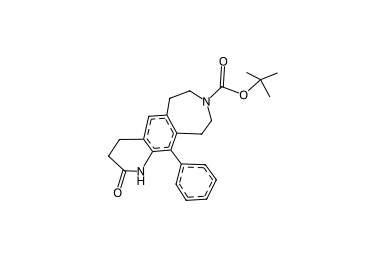 CC(C)(C)OC(=O)N1CCc2cc3c(c(-c4ccccc4)c2CC1)NC(=O)CC3